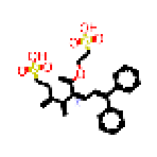 C=C(CCS(=O)(=O)O)C(=C)/C(=C/C=C(c1ccccc1)c1ccccc1)C(=C)OCCS(=O)(=O)O